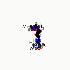 C#C[C@@H](CC)N(C(=O)C(NC(=O)OC)[C@@H](C)CC)[C@@H](C)c1nc2ccc3cc4c(cc3c2[nH]1)OCc1cc(-c2cnc([C@H](C)N(C(=O)C(NC(=O)OC)[C@@H](C)CC)[C@@H](C)CC)[nH]2)ccc1-4